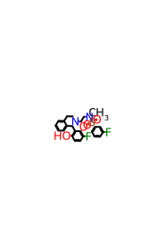 CN(CC(=O)N1CCc2ccccc2C1c1cc(F)ccc1O)S(=O)(=O)c1cccc(F)c1